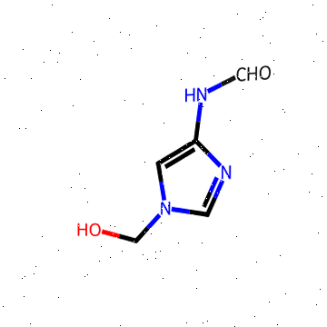 O=CNc1cn(CO)cn1